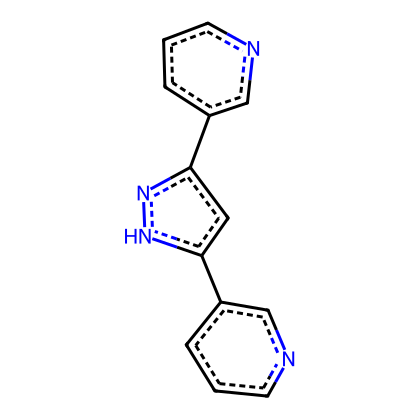 c1cncc(-c2cc(-c3cccnc3)[nH]n2)c1